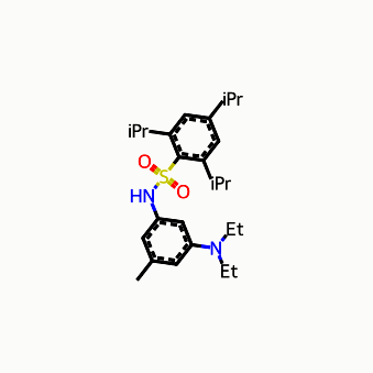 CCN(CC)c1cc(C)cc(NS(=O)(=O)c2c(C(C)C)cc(C(C)C)cc2C(C)C)c1